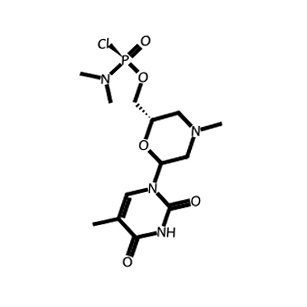 Cc1cn(C2CN(C)C[C@@H](CO[P@](=O)(Cl)N(C)C)O2)c(=O)[nH]c1=O